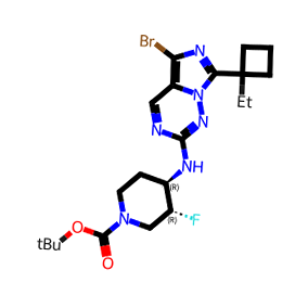 CCC1(c2nc(Br)c3cnc(N[C@@H]4CCN(C(=O)OC(C)(C)C)C[C@H]4F)nn23)CCC1